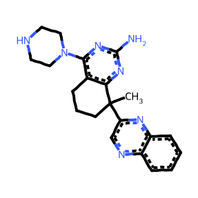 CC1(c2cnc3ccccc3n2)CCCc2c(N3CCNCC3)nc(N)nc21